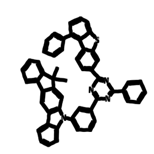 CC1(C)c2ccccc2-c2cc3c4ccccc4n(-c4cccc(-c5nc(-c6ccccc6)nc(-c6ccc7c(c6)sc6cccc(-c8ccccc8)c67)n5)c4)c3cc21